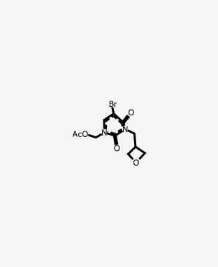 CC(=O)OCn1cc(Br)c(=O)n(CC2COC2)c1=O